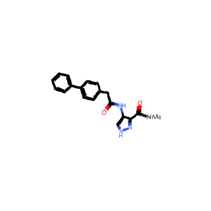 CNC(=O)c1n[nH]cc1NC(=O)Cc1ccc(-c2ccccc2)cc1